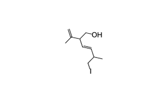 C=C(C)C(C=CC(C)CI)CO